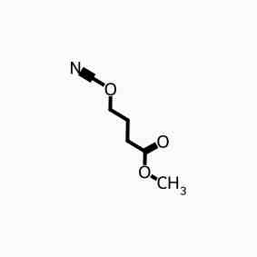 COC(=O)CCCOC#N